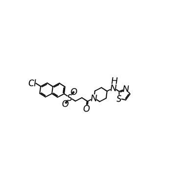 O=C(CCS(=O)(=O)c1ccc2cc(Cl)ccc2c1)N1CCC(Nc2nccs2)CC1